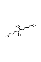 OCCCCC(O)C(O)CCCO